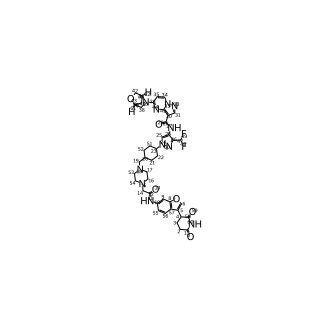 O=C1CCC(c2coc3cc(NC(=O)CN4CCN(CC5CCC(n6cc(NC(=O)c7cnn8ccc(N9C[C@H]%10C[C@@H]9CO%10)nc78)c(C(F)F)n6)CC5)CC4)ccc23)C(=O)N1